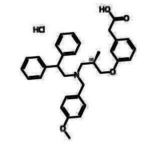 COc1ccc(CN(CC(c2ccccc2)c2ccccc2)C[C@@H](C)COc2cccc(CC(=O)O)c2)cc1.Cl